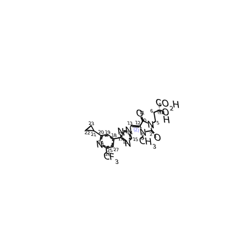 CN1C(=O)N(CC[C@@H](O)C(=O)O)C(=O)/C1=C/n1cnc(-c2cc(C3CC3)nc(C(F)(F)F)c2)n1